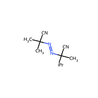 CC(C)C(C)(C#N)N=NC(C)(C)C#N